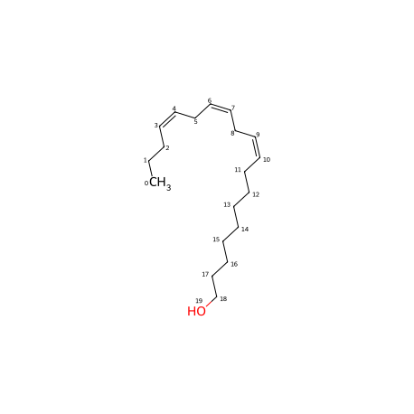 CCC/C=C\C/C=C\C/C=C\CCCCCCCCO